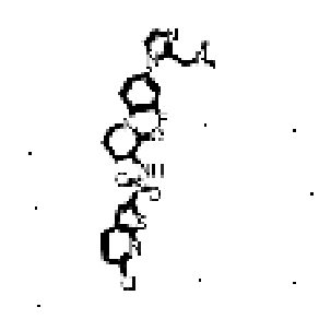 CN(C)Cc1nccn1-c1ccc(N2CCCC(NS(=O)(=O)c3cc4ccc(Cl)nc4s3)C2=O)c(F)c1